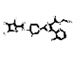 CCOC(=O)c1sc(N2CC[C@@H](NC(=O)c3[nH]c(C)c(Cl)c3Cl)[C@@H](F)C2)nc1-c1ncccc1F